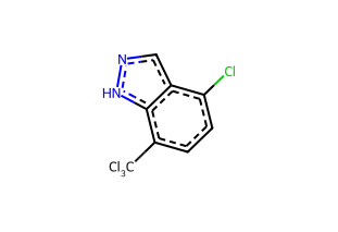 Clc1ccc(C(Cl)(Cl)Cl)c2[nH]ncc12